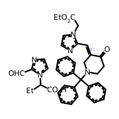 CCC(C(=O)O)n1ccnc1C=O.CCOC(=O)Cn1ccnc1/C=C1\CN(C(c2ccccc2)(c2ccccc2)c2ccccc2)CCC1=O